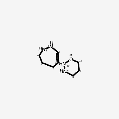 C1=CNNCCC1.C1CNNOC1